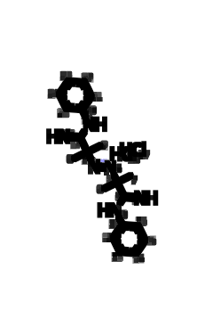 CC(C)(/N=N/C(C)(C)C(=N)Nc1ccccc1)C(=N)Nc1ccccc1.Cl.Cl